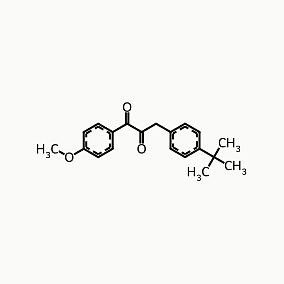 COc1ccc(C(=O)C(=O)Cc2ccc(C(C)(C)C)cc2)cc1